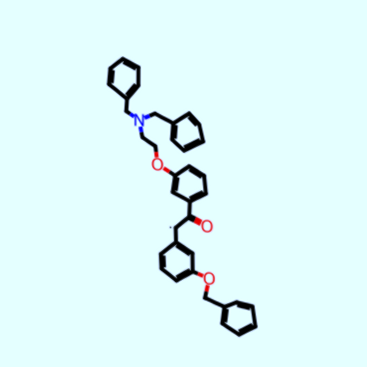 O=C([CH]c1cccc(OCc2ccccc2)c1)c1cccc(OCCN(Cc2ccccc2)Cc2ccccc2)c1